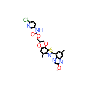 COc1cnc2c(-c3nc4c(C)cc5c(c4s3)OCC(COC(=O)Nc3ccc(Cl)nc3)O5)cc(C)cc2n1